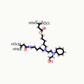 CCCCCCCCC(CCCCCC)CC(=O)NCCCCCN(CCCCCOC(=O)CC(CCCCCC)CCCCCCCC)CCN(CCO)C1CCCCCC1